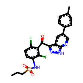 CCCS(=O)(=O)Nc1ccc(F)c(C(=O)c2n[nH]c3ncc(-c4ccc(C)cc4)cc23)c1F